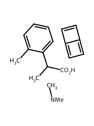 CNC.Cc1ccccc1C(C)C(=O)O.c1cc2ccc1-2